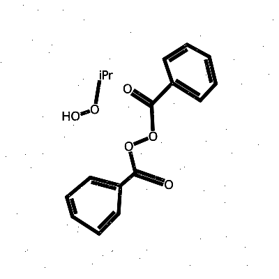 CC(C)OO.O=C(OOC(=O)c1ccccc1)c1ccccc1